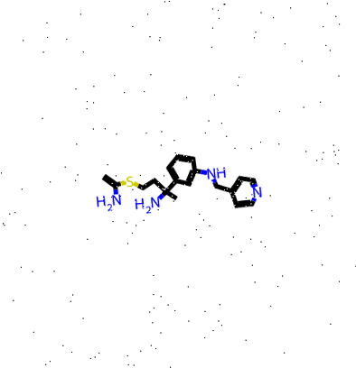 C=C(N)SCCC(C)(N)c1cccc(NCc2ccncc2)c1